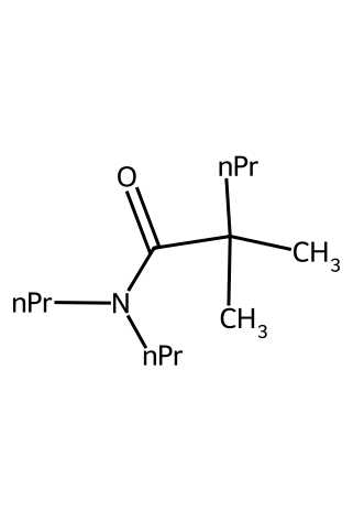 CCCN(CCC)C(=O)C(C)(C)CCC